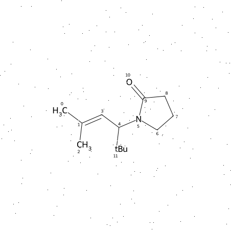 CC(C)=CC(N1CCCC1=O)C(C)(C)C